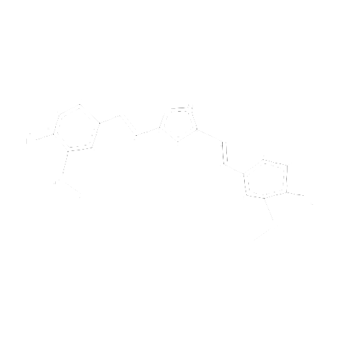 COc1cc(/C=C/c2cc(/C=C/c3ccc(O)c(OC)c3)on2)ccc1O